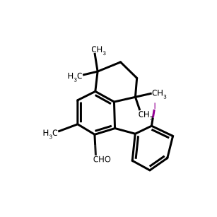 Cc1cc2c(c(-c3ccccc3I)c1C=O)C(C)(C)CCC2(C)C